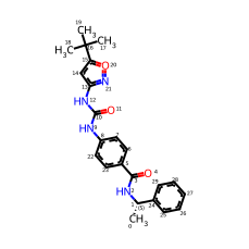 C[C@H](NC(=O)c1ccc(NC(=O)Nc2cc(C(C)(C)C)on2)cc1)c1ccccc1